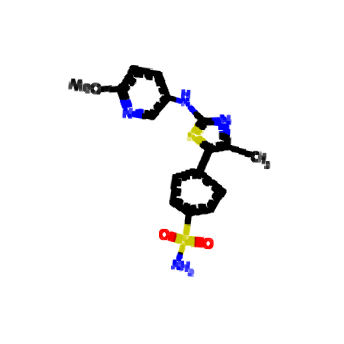 COc1ccc(Nc2nc(C)c(-c3ccc(S(N)(=O)=O)cc3)s2)cn1